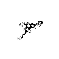 Nc1nc2cc(-n3cccn3)sc2c2oc(CCCO)nc12